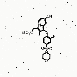 CCOC(=O)Cc1c(C)c(Sc2ccc(S(=O)(=O)N3CCOCC3)cc2F)c2cc(C#N)ccn12